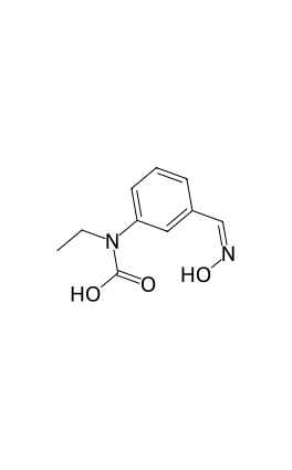 CCN(C(=O)O)c1cccc(/C=N\O)c1